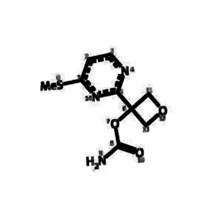 CSc1ccnc(C2(OC(N)=O)COC2)n1